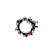 C/C=C/C[C@@H](C)[C@@H](O)[C@H]1C(=O)N[C@@H](CC)C(=O)N(C)CC(=O)N(C)CC(=O)N[C@@H](CC(C)C)C(=O)N(C)[C@@H](C)C(=O)N[C@@H](C)C(=O)N[C@H](C)C(=O)N(C)[C@@H](CC(C)C)C(=O)N(C)[C@H](CC(C)C)C(=O)N(C)[C@@H](C(C)C)C(=O)N1C